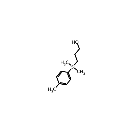 Cc1ccc([Si](C)(C)CCCO)cc1